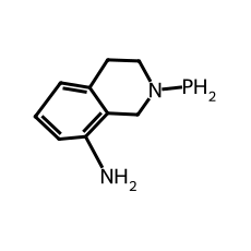 Nc1cccc2c1CN(P)CC2